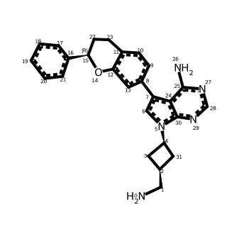 NC[C@H]1C[C@@H](n2cc(-c3ccc4c(c3)O[C@@H](c3ccccc3)CC4)c3c(N)ncnc32)C1